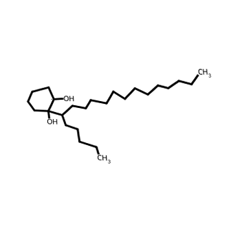 CCCCCCCCCCCCCC(CCCCC)C1(O)CCCC[C]1O